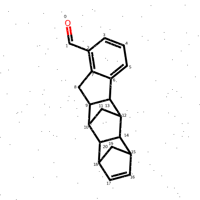 O=Cc1cccc2c1CC1C3CC(C21)C1C2C=CC(C2)C31